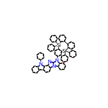 c1ccc(-n2c3ccccc3c3ccc4c(nc5n(-c6ccc7c(c6)[Si](c6ccccc6)(c6ccccc6)c6ccccc6-c6ccccc6[Si]7(c6ccccc6)c6ccccc6)c6ccccc6n45)c32)cc1